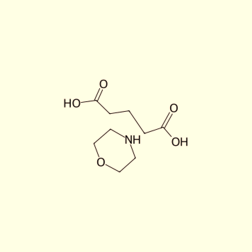 C1COCCN1.O=C(O)CCCC(=O)O